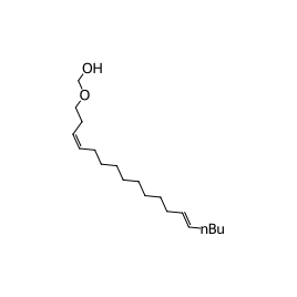 CCCC/C=C/CCCCCCCC/C=C\CCOCO